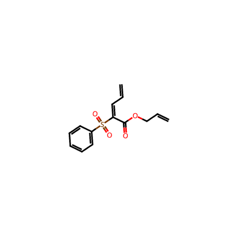 C=CC=C(C(=O)OCC=C)S(=O)(=O)c1ccccc1